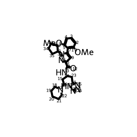 COc1cccc(OC)c1-c1cc(C(=O)NC(CCN2CCCCC2)Cc2nnn[nH]2)nn1C1CCCC1